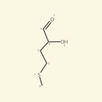 CSCCC(O)C=O